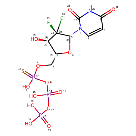 O=c1ccn([C@@H]2O[C@H](COP(O)(=S)OP(=O)(O)OP(=O)(O)O)[C@@H](O)[C@]2(F)Cl)c(=O)[nH]1